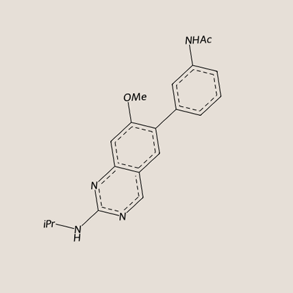 COc1cc2nc(NC(C)C)ncc2cc1-c1cccc(NC(C)=O)c1